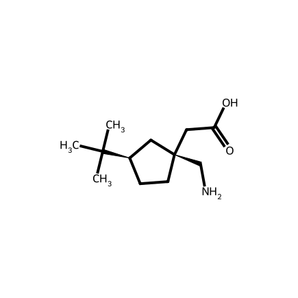 CC(C)(C)[C@@H]1CC[C@@](CN)(CC(=O)O)C1